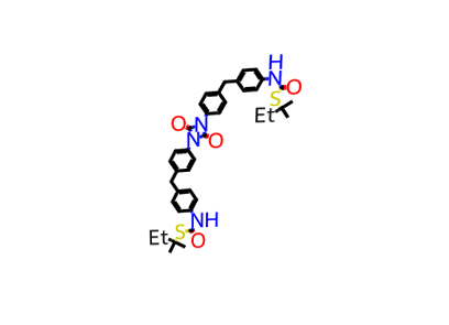 CCC(C)(C)SC(=O)Nc1ccc(Cc2ccc(N3C(=O)N(c4ccc(Cc5ccc(NC(=O)SC(C)(C)CC)cc5)cc4)C3=O)cc2)cc1